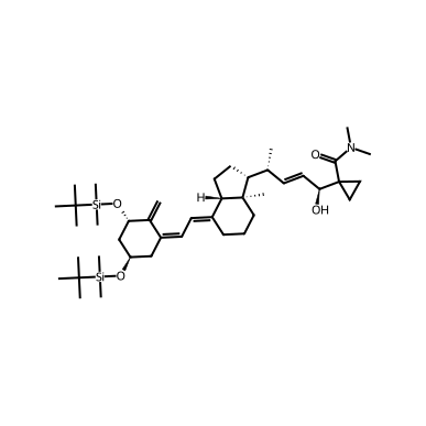 C=C1/C(=C\C=C2/CCC[C@]3(C)[C@@H]([C@H](C)/C=C/[C@H](O)C4(C(=O)N(C)C)CC4)CC[C@@H]23)C[C@@H](O[Si](C)(C)C(C)(C)C)C[C@@H]1O[Si](C)(C)C(C)(C)C